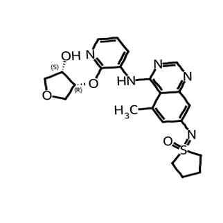 Cc1cc(N=S2(=O)CCCC2)cc2ncnc(Nc3cccnc3O[C@@H]3COC[C@@H]3O)c12